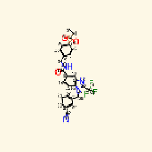 CCS(=O)(=O)c1ccc(CNC(=O)c2ccc3c(c2)nc(C(F)(F)F)n3Cc2cccc(C#N)c2)cc1